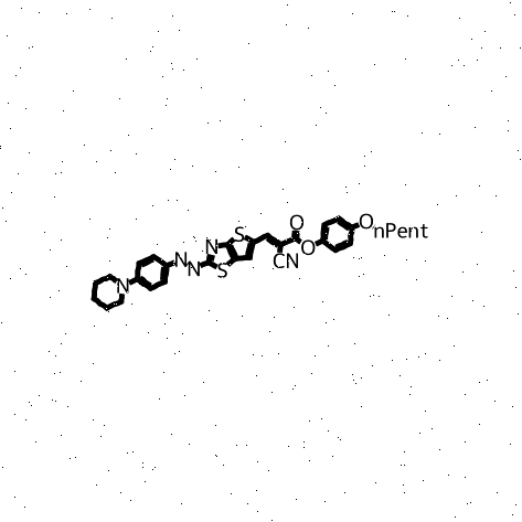 CCCCCOc1ccc(OC(=O)/C(C#N)=C/c2cc3sc(/N=N/c4ccc(N5CCCCC5)cc4)nc3s2)cc1